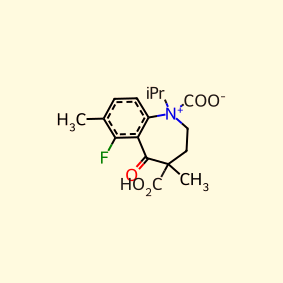 Cc1ccc2c(c1F)C(=O)C(C)(C(=O)O)CC[N+]2(C(=O)[O-])C(C)C